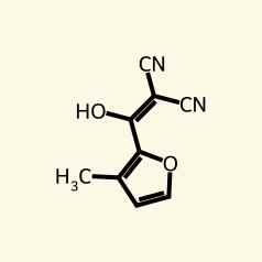 Cc1ccoc1C(O)=C(C#N)C#N